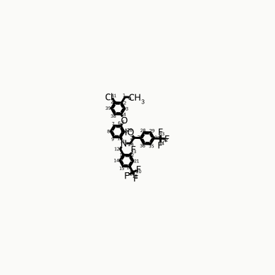 CCc1cc(Oc2cccc(N(Cc3ccc(C(F)(F)F)cc3F)CC(O)c3ccc(C(F)(F)F)cc3)c2)ccc1Cl